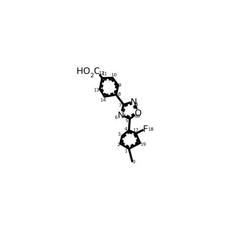 Cc1ccc(-c2nc(-c3ccc(C(=O)O)cc3)no2)c(F)c1